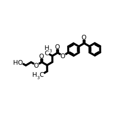 CCC(CC(C)C(=O)Oc1ccc(C(=O)c2ccccc2)cc1)C(=O)OCCO